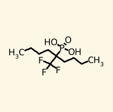 CCCCC(CCCC)(C(F)(F)F)P(=O)(O)O